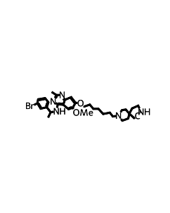 COc1cc2c(NC(C)c3cccc(Br)c3)nc(C)nc2cc1OCCCCCCCN1CCC2(CCNCC2)CC1